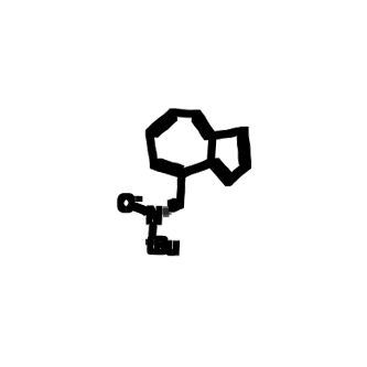 CC(C)(C)[N+]([O-])=Cc1ccccc2cccc1-2